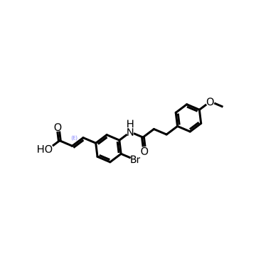 COc1ccc(CCC(=O)Nc2cc(/C=C/C(=O)O)ccc2Br)cc1